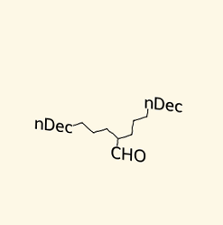 CCCCCCCCCCCCCC(C=O)CCCCCCCCCCCCC